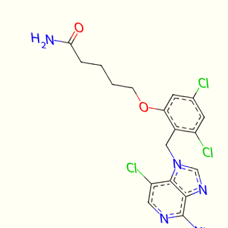 NC(=O)CCCCOc1cc(Cl)cc(Cl)c1Cn1cnc2c(N)ncc(Cl)c21